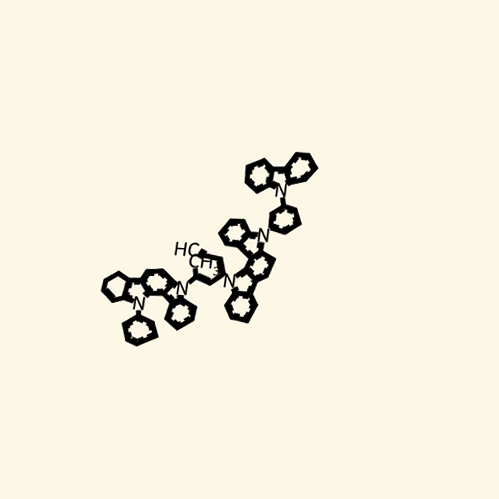 C#C/C=C(\C=C(/C)n1c2ccccc2c2c3c(ccc21)c1c(n3-c2ccccc2)C=CCC1)n1c2ccccc2c2ccc3c(c4ccccc4n3-c3cccc(-n4c5ccccc5c5ccccc54)c3)c21